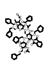 CCC(N=[N+]=[N-])[C@]1(OCc2ccccc2)[C@H](OCc2ccccc2)[C@@H](COCc2ccccc2)O[C@@H](OC[C@H]2O[C@@H](O[C@@H]3[C@@H](OCc4ccccc4)[C@H](O)O[C@H](COCc4ccccc4)[C@@H]3OC(C)=O)[C@H](N3C(=O)c4ccccc4C3=O)[C@@H](OCc3ccccc3)[C@@H]2O)[C@@H]1OC(C)=O